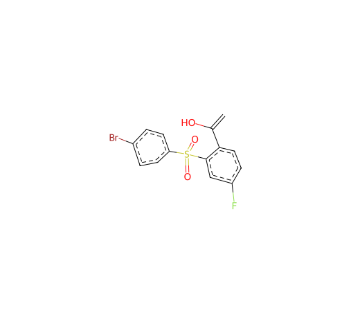 C=C(O)c1ccc(F)cc1S(=O)(=O)c1ccc(Br)cc1